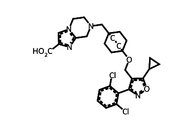 O=C(O)c1cn2c(n1)CN(CC13CCC(OCc4c(-c5c(Cl)cccc5Cl)noc4C4CC4)(CC1)CC3)CC2